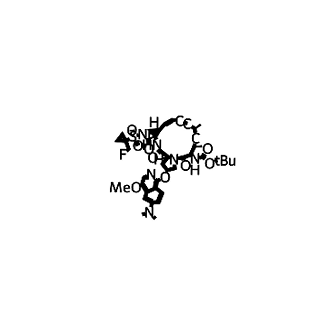 COc1cnc(O[C@@H]2C[C@H]3C(=O)N[C@]4(C(=O)NS(=O)(=O)C5(CF)CC5)C[C@H]4/C=C\CC[C@@H](C)C[C@@H](C)[C@H](NC(=O)OC(C)(C)C)C(=O)N3C2)c2ccc(N(C)C)cc12